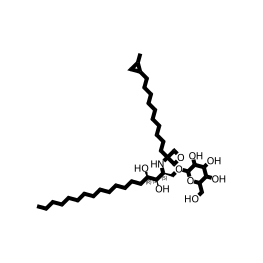 CCCCCCCCCCCCCC[C@@H](O)[C@@H](O)[C@H](COC1OC(CO)C(O)C(O)C1O)NC1(CCCCCCCCCCC2CC2C)COC1